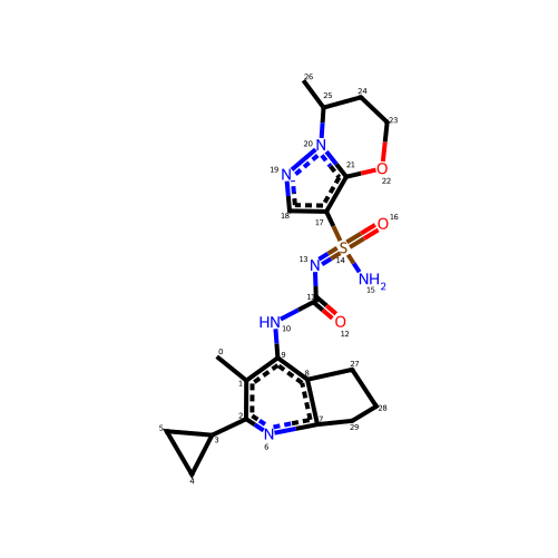 Cc1c(C2CC2)nc2c(c1NC(=O)N=S(N)(=O)c1cnn3c1OCCC3C)CCC2